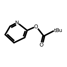 CC(C)(C)C(=O)Oc1ccccn1